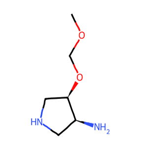 COCO[C@@H]1CNC[C@@H]1N